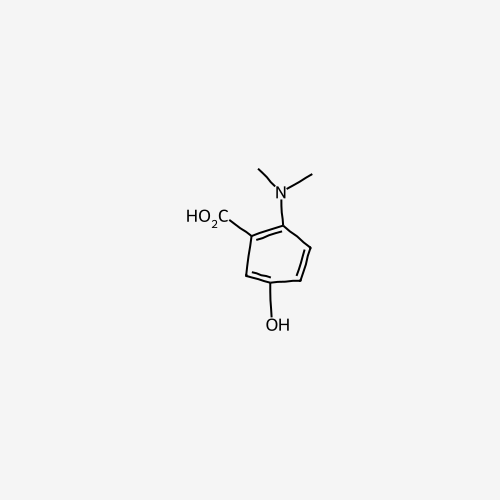 CN(C)c1ccc(O)cc1C(=O)O